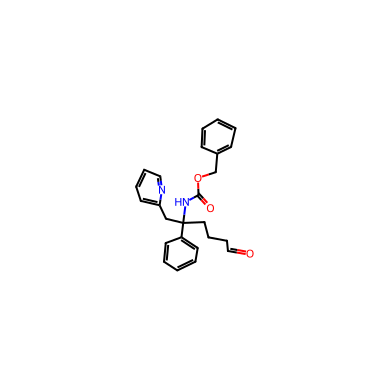 O=CCCCC(Cc1ccccn1)(NC(=O)OCc1ccccc1)c1ccccc1